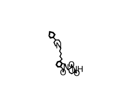 O=C1CCC(N2Cc3c(CCCCCN4CCC(c5ccccc5)CC4)cccc3C2=O)C(=O)N1